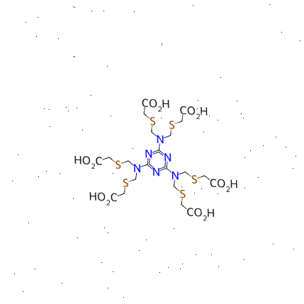 O=C(O)CSCN(CSCC(=O)O)c1nc(N(CSCC(=O)O)CSCC(=O)O)nc(N(CSCC(=O)O)CSCC(=O)O)n1